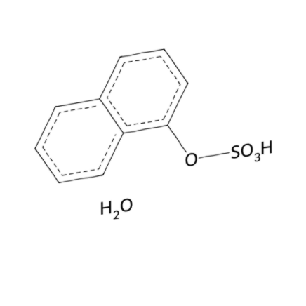 O.O=S(=O)(O)Oc1cccc2ccccc12